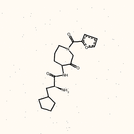 N[C@@H](CC1CCCC1)C(=O)NC1CCCN(C(=O)c2ccco2)CC1=O